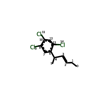 CCC=CC(C)c1cc(Cl)c(Cl)cc1Cl